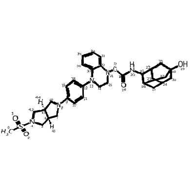 CS(=O)(=O)N1C[C@H]2CN(c3ccc(N4CCN(OC(=O)NC5C6CC7CC5CC(O)(C7)C6)c5ccccc54)cc3)C[C@@H]2C1